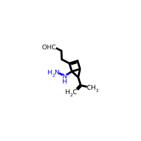 C=C(C)C1C2C=C(CCC=O)C21NN